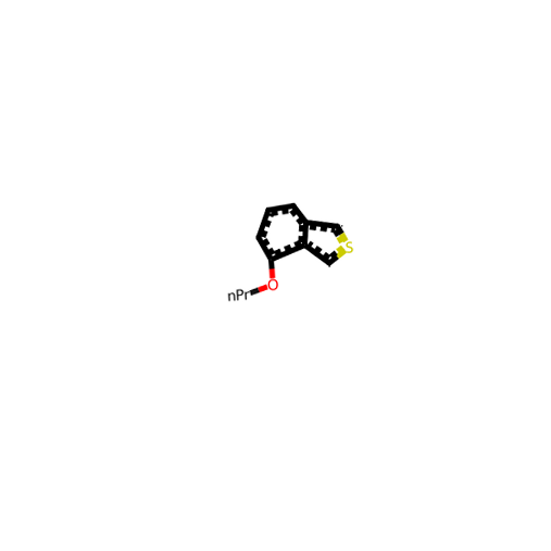 CCCOc1cccc2[c]s[c]c12